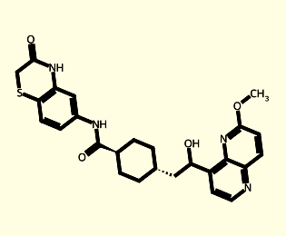 COc1ccc2nccc(C(O)C[C@H]3CC[C@H](C(=O)Nc4ccc5c(c4)NC(=O)CS5)CC3)c2n1